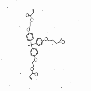 C=CC(=O)OCCOc1ccc(C(C)(c2ccc(OCCCC3CO3)cc2)c2ccc(OCCOC(=O)C=C)cc2)cc1